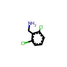 NCc1c(Cl)[c]ccc1Cl